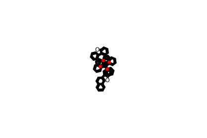 c1ccc(-c2c3ccccc3c(-c3cccc4oc5cccc(-c6c7ccccc7c(-c7ccc8oc9c%10ccccc%10ccc9c8c7)c7ccccc67)c5c34)c3ccccc23)cc1